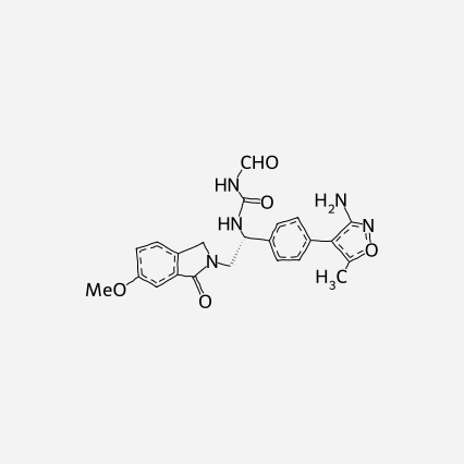 COc1ccc2c(c1)C(=O)N(C[C@H](NC(=O)NC=O)c1ccc(-c3c(N)noc3C)cc1)C2